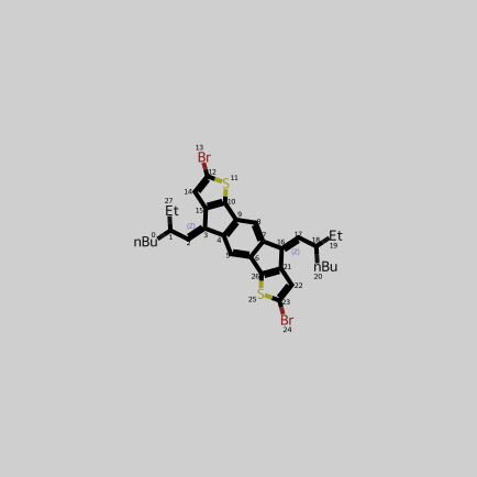 CCCCC(/C=C1/c2cc3c(cc2-c2sc(Br)cc21)/C(=C/C(CC)CCCC)c1cc(Br)sc1-3)CC